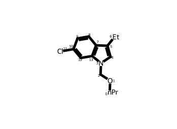 CCCOCn1cc(CC)c2ccc(Cl)cc21